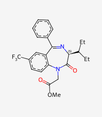 CCC(CC)[C@@H]1N=C(c2ccccc2)c2cc(C(F)(F)F)ccc2N(CC(=O)OC)C1=O